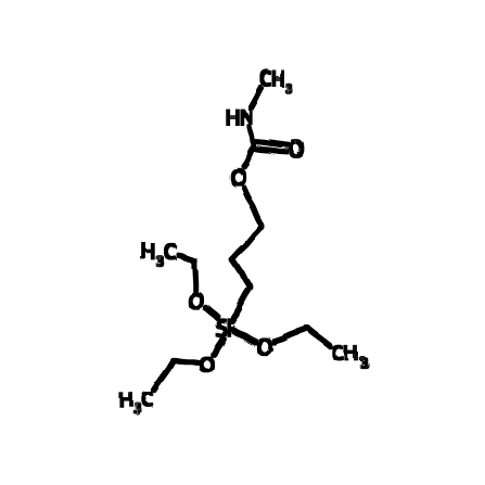 CCO[Si](CCCOC(=O)NC)(OCC)OCC